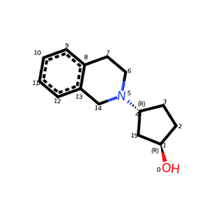 O[C@@H]1CC[C@@H](N2CCc3cc[c]cc3C2)C1